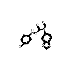 O=CN(C(=O)ONc1ccc(Cl)cc1)c1ccc2ncoc2c1